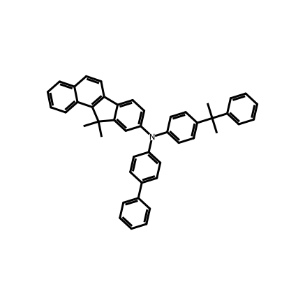 CC(C)(c1ccccc1)c1ccc(N(c2ccc(-c3ccccc3)cc2)c2ccc3c(c2)C(C)(C)c2c-3ccc3ccccc23)cc1